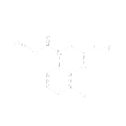 CCOC(=O)C1CN(C(=O)OC(C)(C)C)c2cccc(Br)c2O1